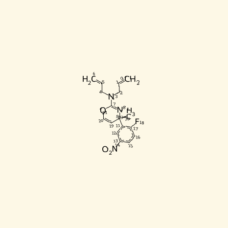 C=CCN(CC=C)C1=N[C@](C)(c2cc([N+](=O)[O-])ccc2F)C=CO1